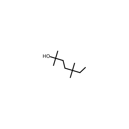 CCC(C)(C)CCC(C)(C)O